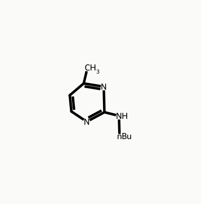 CCCCNc1nccc(C)n1